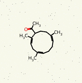 CC(=O)C1CCC(C)=CCCC=C(C)CC=C1C